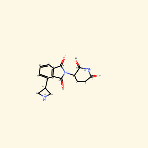 O=C1CCC(N2C(=O)c3cccc(C4CNC4)c3C2=O)C(=O)N1